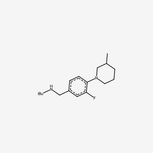 CCC(C)NCc1ccc(N2CCCC(C)C2)c(F)c1